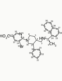 C[C@@H](NCC1CCN(c2ncc(C(=O)O)cc2Br)CC1c1ccccc1)c1cccc2ccccc12